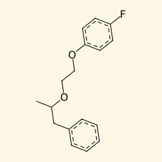 CC(Cc1ccccc1)OCCOc1ccc(F)cc1